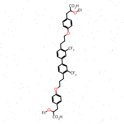 CCOC(Cc1ccc(OCCCc2ccc(-c3ccc(CCCOc4ccc(CC(OCC)C(=O)O)cc4)c(C(F)(F)F)c3)cc2C(F)(F)F)cc1)C(=O)O